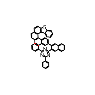 c1ccc(-c2nc(-c3ccccc3)nc(-c3cc4ccccc4cc3-c3ccc4c(ccc5ccc6ccc7sc8ccccc8c7c6c54)c3)n2)cc1